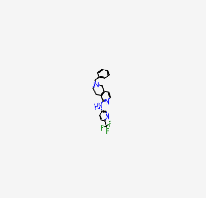 FC(F)(F)c1ccc(Nc2nccc3c2CCN(Cc2ccccc2)C3)cn1